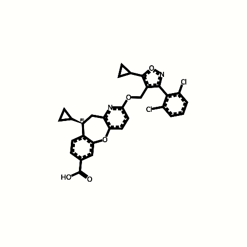 O=C(O)c1ccc2c(c1)Oc1ccc(OCc3c(-c4c(Cl)cccc4Cl)noc3C3CC3)nc1C[C@@H]2C1CC1